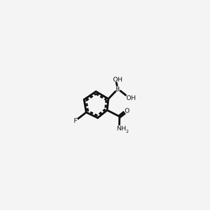 NC(=O)c1cc(F)ccc1B(O)O